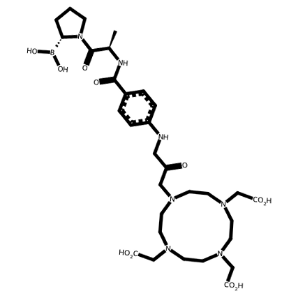 C[C@@H](NC(=O)c1ccc(NCC(=O)CN2CCN(CC(=O)O)CCN(CC(=O)O)CCN(CC(=O)O)CC2)cc1)C(=O)N1CCC[C@H]1B(O)O